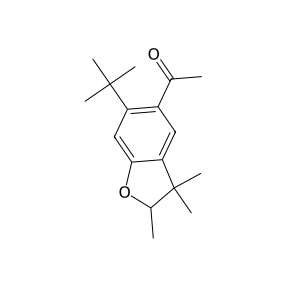 CC(=O)c1cc2c(cc1C(C)(C)C)OC(C)C2(C)C